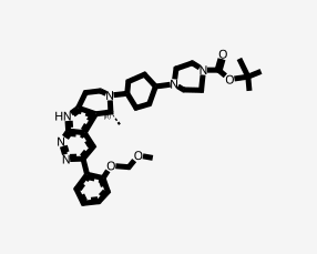 COCOc1ccccc1-c1cc2c3c([nH]c2nn1)CCN(C1CCC(N2CCN(C(=O)OC(C)(C)C)CC2)CC1)[C@@H]3C